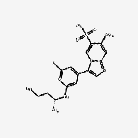 COc1cc2ncc(-c3cc(F)nc(N[C@H](C)CCO)c3)n2cc1S(=O)(=O)C(C)(C)C